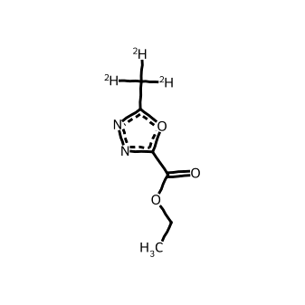 [2H]C([2H])([2H])c1nnc(C(=O)OCC)o1